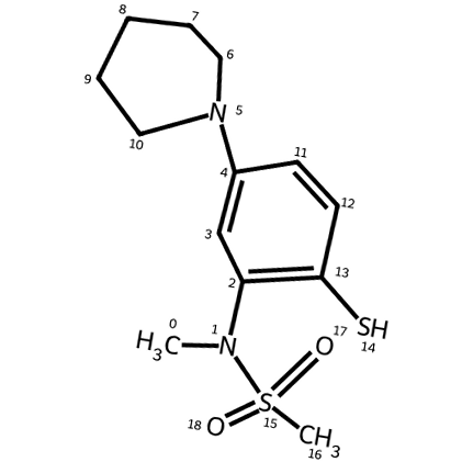 CN(c1cc(N2CCCCC2)ccc1S)S(C)(=O)=O